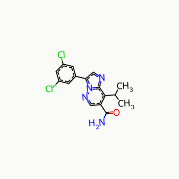 CC(C)c1c(C(N)=O)cnn2c(-c3cc(Cl)cc(Cl)c3)cnc12